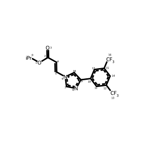 CC(C)OC(=O)C=Cn1cnc(-c2cc(C(F)(F)F)cc(C(F)(F)F)c2)c1